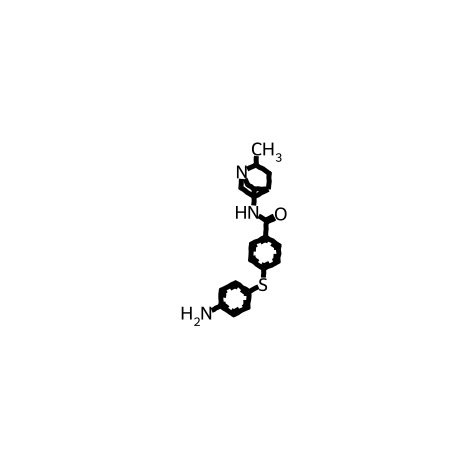 CC1CC2CCN1CC2NC(=O)c1ccc(Sc2ccc(N)cc2)cc1